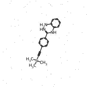 C[Si](C)(C)C#Cc1ccc(C(=N)Nc2ccccc2N)cc1